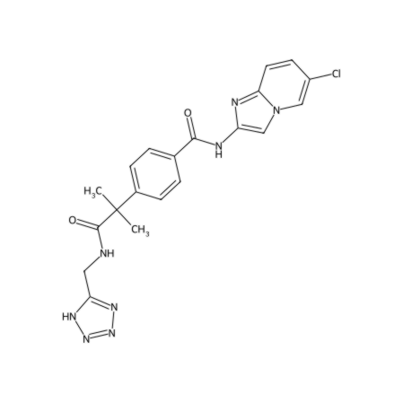 CC(C)(C(=O)NCc1nnn[nH]1)c1ccc(C(=O)Nc2cn3cc(Cl)ccc3n2)cc1